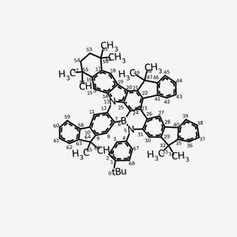 CC(C)(C)c1ccc(N2B3c4cc5c(cc4-n4c6cc7c(cc6c6c8c(c(c3c64)-c3cc4c(cc32)C(C)(C)c2ccccc2-4)-c2ccccc2C8(C)C)C(C)(C)CCC7(C)C)-c2ccccc2C5(C)C)cc1